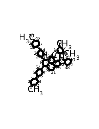 Cc1ccc(-c2ccc(-c3cc(-c4ccc(-c5ccc(C)cc5)cc4)c4ccc5c6c(ccc3c46)cc3c4ccccc4n(-c4c(C)cc(C)cc4C)c35)cc2)cc1